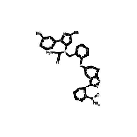 C[S+]([O-])c1ccccc1-c1nnc2ccc(Sc3ccccc3CN(C(N)=O)c3cc(C(C)(C)C)nn3-c3cccc(O)c3)cn12